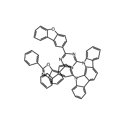 c1ccc(-c2cccc(-n3c4ccccc4c4ccc5c6ccccc6n(-c6nc(-c7ccc8oc9ccccc9c8c7)nc(-c7cccc8nc(-c9ccccc9)oc78)n6)c5c43)c2)cc1